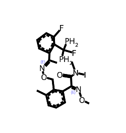 CO/N=C(/C(=O)N(C)I)c1cccc(C)c1CO/N=C(\C)c1cccc(F)c1C(F)(P)P